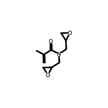 C=C(C)C(=O)N(CC1CO1)CC1CO1